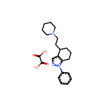 O=C(O)C(=O)O.c1ccc(-n2ncc3c2CCCC3CCN2CCCCC2)cc1